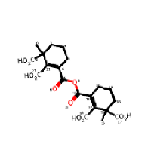 CC1(C(=O)O)CCCC(C(=O)OC(=O)C2=C(C(=O)O)C(C)(C(=O)O)CCC2)=C1C(=O)O